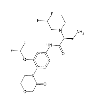 CCN(CC(F)F)[C@@H](CN)C(=O)Nc1ccc(N2CCOCC2=O)c(OC(F)F)c1